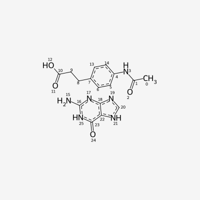 CC(=O)Nc1ccc(CCC(=O)O)cc1.Nc1nc2nc[nH]c2c(=O)[nH]1